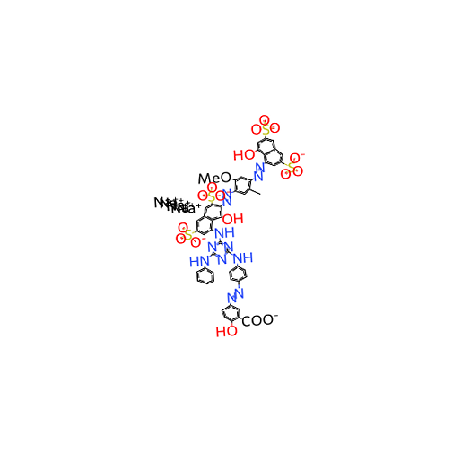 COc1cc(N=Nc2cc(S(=O)(=O)[O-])cc3cc(S(=O)(=O)[O-])cc(O)c23)c(C)cc1N=Nc1c(S(=O)(=O)[O-])cc2cc(S(=O)(=O)[O-])cc(Nc3nc(Nc4ccccc4)nc(Nc4ccc(N=Nc5ccc(O)c(C(=O)[O-])c5)cc4)n3)c2c1O.[Na+].[Na+].[Na+].[Na+].[Na+]